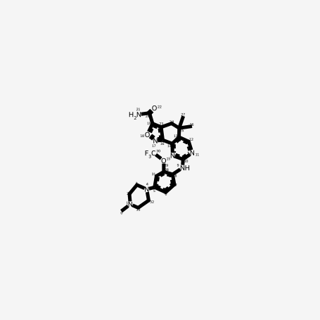 CN1CCN(c2ccc(Nc3ncc4c(n3)-c3noc(C(N)=O)c3CC4(C)C)c(OC(F)(F)F)c2)CC1